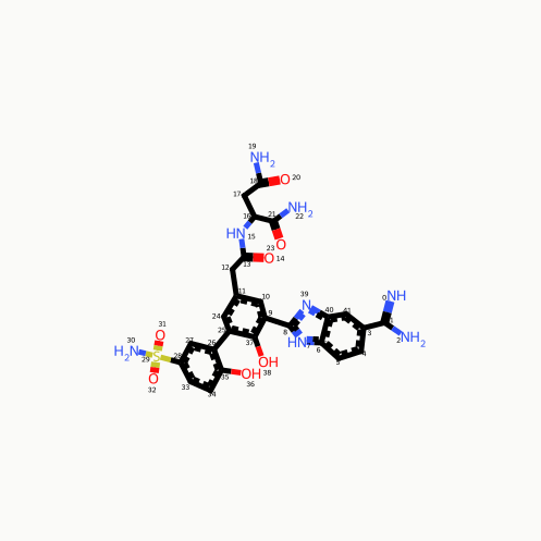 N=C(N)c1ccc2[nH]c(-c3cc(CC(=O)NC(CC(N)=O)C(N)=O)cc(-c4cc(S(N)(=O)=O)ccc4O)c3O)nc2c1